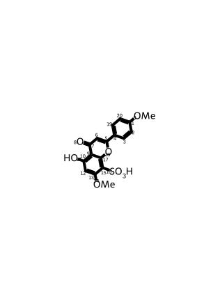 COc1ccc(-c2cc(=O)c3c(O)cc(OC)c(S(=O)(=O)O)c3o2)cc1